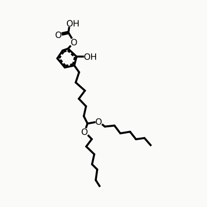 CCCCCCCOC(CCCCCCc1cccc(OC(=O)O)c1O)OCCCCCCC